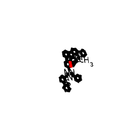 C[Si]1(C)c2ccccc2-c2ccc3c(c21)C1(c2c(-c4ccc(-c5nc(-c6ccccc6)nc(-c6cccc7c6sc6ccccc67)n5)cc4)cccc2-3)C2CC3CC(C2)CC1C3